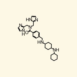 O=C(c1ccc(CNC2CCC(NC3CCCCC3)CC2)cc1)N(Cc1ncc[nH]1)Cc1ncc[nH]1